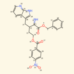 N=C(C(=O)OCc1ccccc1)C(CCOC(=O)c1ccc([N+](=O)[O-])cc1)Cc1c[nH]c2ncccc12